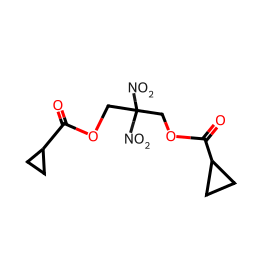 O=C(OCC(COC(=O)C1CC1)([N+](=O)[O-])[N+](=O)[O-])C1CC1